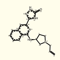 C=CCN1CC[C@H](Nc2nc(-c3n[nH]c(=O)[nH]3)cc3ccccc23)C1